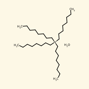 CCCCCCCC[N+](CCCCCCCC)(CCCCCCCC)CCCCCCCC.O